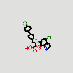 O=C(O)C(CCc1ccc(-c2ccc(Cl)cc2)cc1)Oc1c(Cl)cc(Cl)c2cccnc12